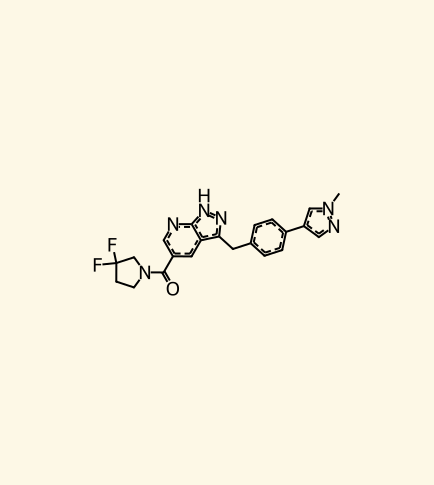 Cn1cc(-c2ccc(Cc3n[nH]c4ncc(C(=O)N5CCC(F)(F)C5)cc34)cc2)cn1